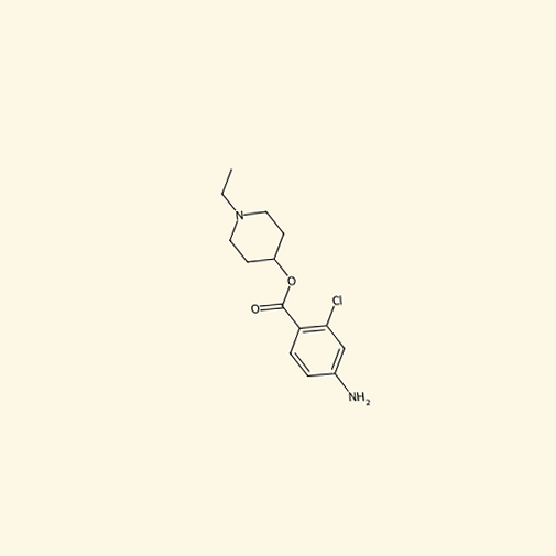 CCN1CCC(OC(=O)c2ccc(N)cc2Cl)CC1